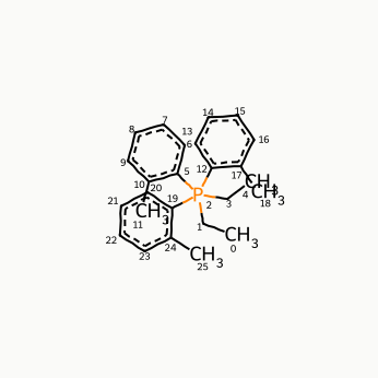 CCP(CC)(c1ccccc1C)(c1ccccc1C)c1ccccc1C